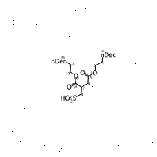 CCCCCCCCCCCCOC(=O)CC(CS(=O)(=O)O)C(=O)OCCCCCCCCCCCC